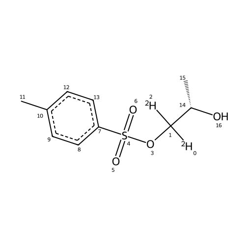 [2H]C([2H])(OS(=O)(=O)c1ccc(C)cc1)[C@H](C)O